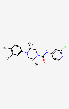 C[C@@H]1CN(c2ccc(C#N)c(C(F)(F)F)c2)[C@@H](C)CN1C(=O)Nc1ccnc(Cl)c1